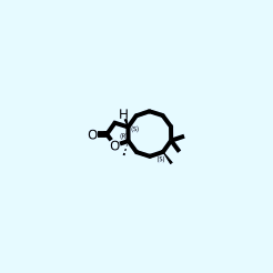 C[C@H]1CC[C@@]2(C)OC(=O)C[C@@H]2CCCCC1(C)C